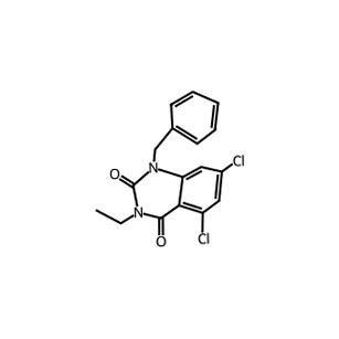 CCn1c(=O)c2c(Cl)cc(Cl)cc2n(Cc2ccccc2)c1=O